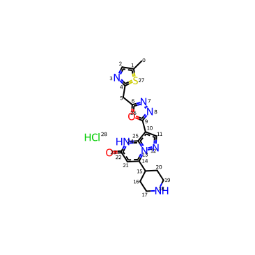 Cc1cnc(Cc2nnc(-c3cnn4c(C5CCNCC5)cc(=O)[nH]c34)o2)s1.Cl